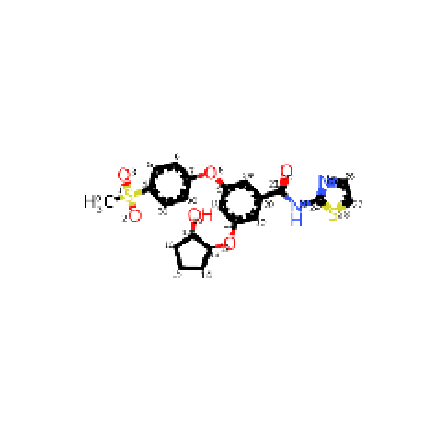 CS(=O)(=O)c1ccc(Oc2cc(O[C@H]3CCC[C@H]3O)cc(C(=O)Nc3nccs3)c2)cc1